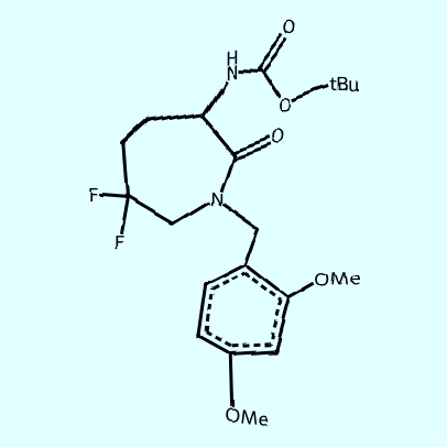 COc1ccc(CN2CC(F)(F)CCC(NC(=O)OC(C)(C)C)C2=O)c(OC)c1